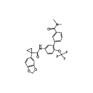 CN(C)C(=O)c1cccc(-c2cc(NC(=O)C3(c4ccc5c(c4)OCO5)CC3)ccc2OC(F)(F)F)c1